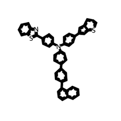 c1csc2cc(-c3ccc(N(c4ccc(-c5ccc(-c6cccc7ccccc67)cc5)cc4)c4ccc(-c5nc6ccccc6s5)cc4)cc3)cc-2c1